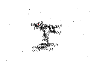 CC(C)(C)[Si](F)(c1ccc(C(=O)NC[C@H](NC(=O)CC[C@@H](C(=O)O)N2CCN(CC(=O)O)CCN(CC(=O)O)CCN(CC(=O)O)CC2)C(=O)N[C@H](CCCCNC(=O)CCC(=O)NCCC[C@@H](NC(=O)CC[C@H](NC(=O)N[C@@H](CCC(=O)O)C(=O)O)C(=O)O)C(=O)O)C(=O)O)cc1)C(C)(C)C